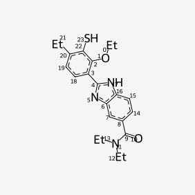 CCOc1c(-c2nc3cc(C(=O)N(CC)CC)ccc3[nH]2)ccc(CC)c1S